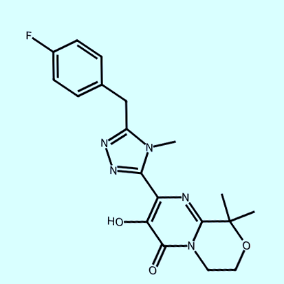 Cn1c(Cc2ccc(F)cc2)nnc1-c1nc2n(c(=O)c1O)CCOC2(C)C